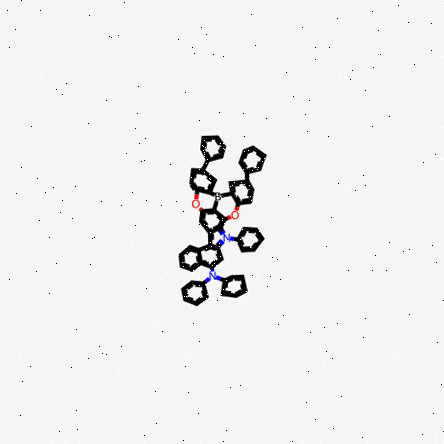 c1ccc(-c2ccc3c(c2)B2c4cc(-c5ccccc5)ccc4Oc4c2c(cc2c5c6ccccc6c(N(c6ccccc6)c6ccccc6)cc5n(-c5ccccc5)c42)O3)cc1